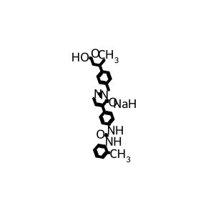 CCC(CC(=O)O)c1ccc(Cn2nccc(-c3ccc(NC(=O)Nc4ccccc4C)cc3)c2=O)cc1.[NaH]